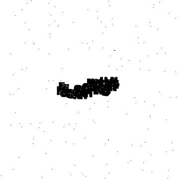 CN(N)/N=C(\N)c1cccc(Nc2nccc(N(C)c3ccc(NC(=O)Nc4ccc(OC(F)(F)F)cc4)cc3)n2)c1